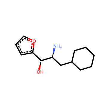 N[C@@H](CC1CCCCC1)[C@@H](O)c1ccco1